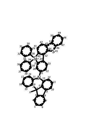 CC1(C)c2ccccc2-c2cccc(N(c3ccccc3)c3ccc4c(c3)[Si](c3ccccc3)(c3ccccc3)c3ccc5c(sc6ccccc65)c3-4)c21